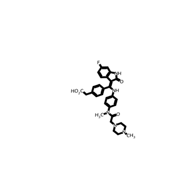 CN1CCN(CC(=O)N(C)c2ccc(N/C(=C3\C(=O)Nc4cc(F)ccc43)c3ccc(CC(=O)O)cc3)cc2)CC1